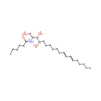 CCCCC/C=C/C=C/CCCCCCC(O)C(O)C(CO)NC(=O)CCCCC